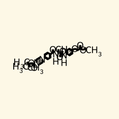 CCOC(=O)COc1ccc(NS(=O)(=O)C(C)NC(=O)c2ccc(N3CCN(C(=O)OC(C)(C)C)CC3)cc2)cc1